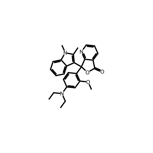 CCN(CC)c1ccc(C2(c3c(C)n(C)c4ccccc34)OC(=O)c3cccnc32)c(OC)c1